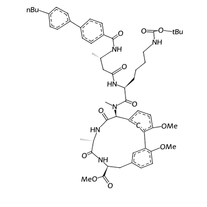 CCCCc1ccc(-c2ccc(C(=O)N[C@@H](C)CC(=O)N[C@@H](CCCCNC(=O)OC(C)(C)C)C(=O)N(C)[C@@H]3C(=O)N[C@@H](C)C(=O)N[C@H](C(=O)OC)Cc4ccc(OC)c(c4)-c4cc3ccc4OC)cc2)cc1